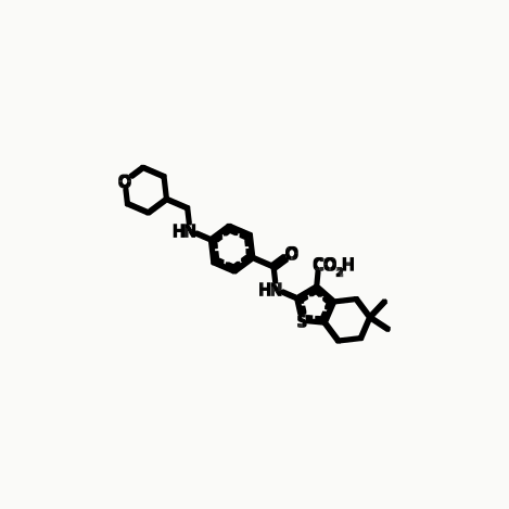 CC1(C)CCc2sc(NC(=O)c3ccc(NCC4CCOCC4)cc3)c(C(=O)O)c2C1